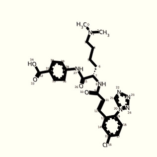 CN(C)CCCC[C@H](NC(=O)C=Cc1cc(Cl)ccc1-n1cnnn1)C(=O)Nc1ccc(C(=O)O)cc1